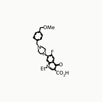 CCn1cc(C(=O)O)c(=O)c2cc(F)c(N3CCN(Cc4ccc(COC)cc4)CC3)cc21